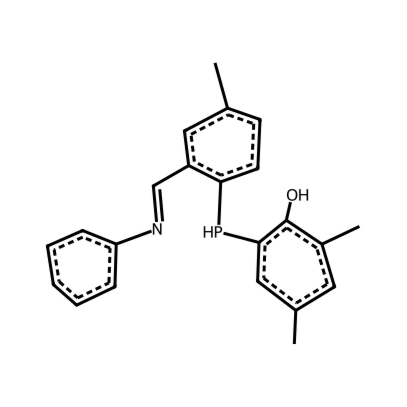 Cc1ccc(Pc2cc(C)cc(C)c2O)c(/C=N/c2ccccc2)c1